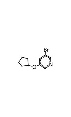 Brc1cncc(OC2CCCC2)c1